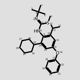 CSC(=NC(C)(C)C)Nc1c(C(C)C)cc(Oc2ccccc2)cc1C1CCCCC1